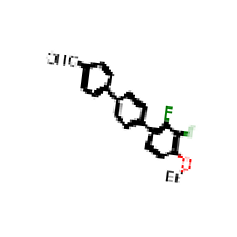 CCOc1ccc(-c2ccc(-c3ccc(C=O)cc3)cc2)c(F)c1F